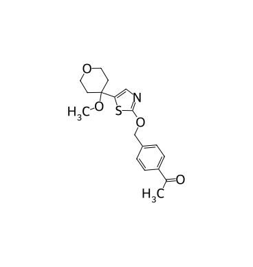 COC1(c2cnc(OCc3ccc(C(C)=O)cc3)s2)CCOCC1